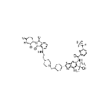 CC(C)(O)c1cc2nc([C@H]3CC[C@H](CN4CCC(CCNc5cccc6c5C(=O)N(C5CCC(=O)NC5=O)C6=O)CC4)CC3)sc2cc1NC(=O)c1cccc(C(C)(F)F)n1